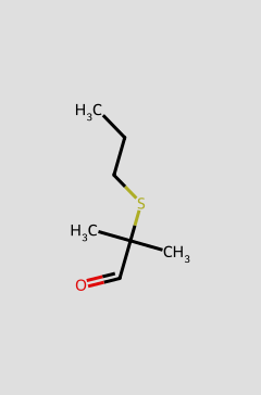 CCCSC(C)(C)C=O